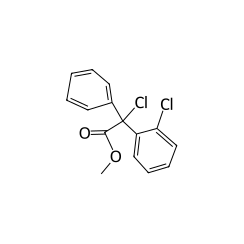 COC(=O)C(Cl)(c1ccccc1)c1ccccc1Cl